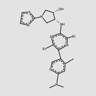 CCc1nc(-c2cnc(N(C)C)cc2C)c(CC)nc1N[C@@H]1CN(c2nccs2)C[C@@H]1O